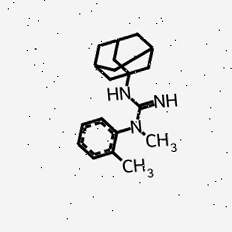 Cc1ccccc1N(C)C(=N)NC12CC3CC(CC(C3)C1)C2